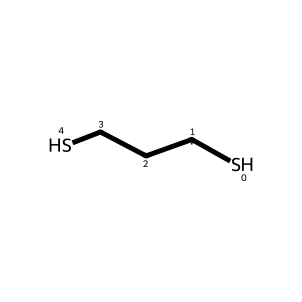 S[CH]CCS